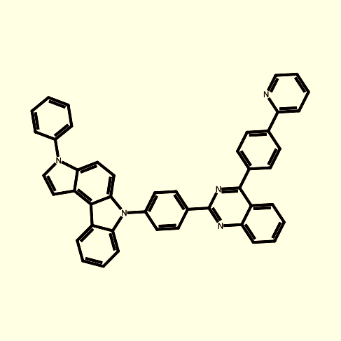 c1ccc(-n2ccc3c4c5ccccc5n(-c5ccc(-c6nc(-c7ccc(-c8ccccn8)cc7)c7ccccc7n6)cc5)c4ccc32)cc1